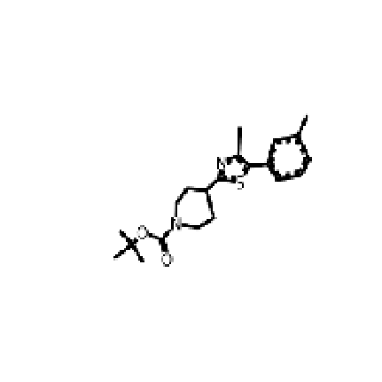 Cc1cccc(-c2sc(C3CCN(C(=O)OC(C)(C)C)CC3)nc2C)c1